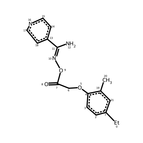 CCc1ccc(OCC(=O)O/N=C(\N)c2ccncc2)c(C)c1